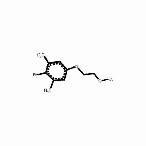 CCOCCOc1cc(C)c(Br)c(C)c1